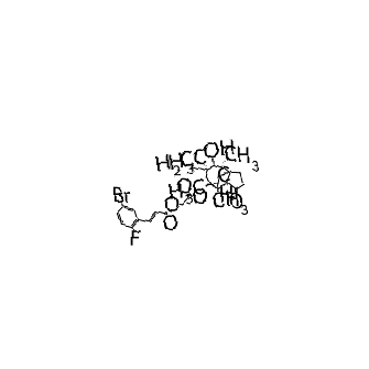 C=C[C@]1(C)C[C@@H](OC(=O)COC(=O)/C=C/c2cc(Br)ccc2F)[C@]2(C)[C@H](C)CC[C@]3(CCC(=O)[C@H]32)[C@@H](C)[C@@H]1O